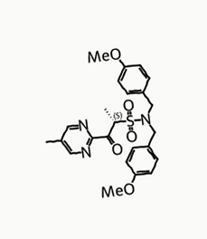 COc1ccc(CN(Cc2ccc(OC)cc2)S(=O)(=O)[C@@H](C)C(=O)c2ncc(C)cn2)cc1